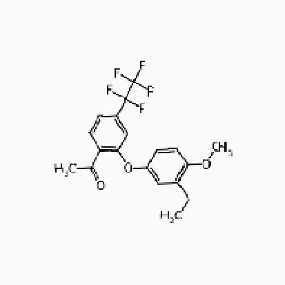 CCc1cc(Oc2cc(C(F)(F)C(F)(F)F)ccc2C(C)=O)ccc1OC